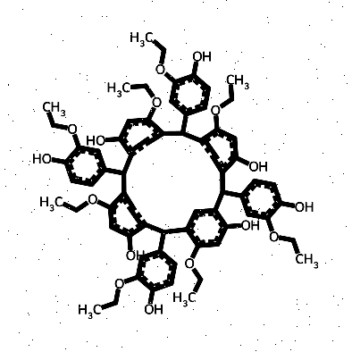 CCOc1cc(C2c3cc(c(OCC)cc3O)C(c3ccc(O)c(OCC)c3)c3cc(c(OCC)cc3O)C(c3ccc(O)c(OCC)c3)c3cc(c(OCC)cc3O)C(c3ccc(O)c(OCC)c3)c3cc2c(O)cc3OCC)ccc1O